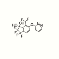 OC1(O)c2c(ccc(Oc3cccnn3)c2C(F)F)C(F)(F)C1(F)F